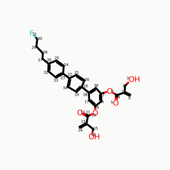 C=C(CO)C(=O)Oc1cc(OC(=O)C(=C)CO)cc(-c2ccc(-c3ccc(CCCCF)cc3)cc2)c1